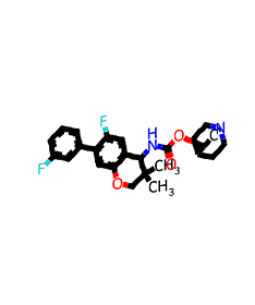 CC1(C)COc2cc(-c3cccc(F)c3)c(F)cc2C1NC(=O)OC1CN2CCC1CC2